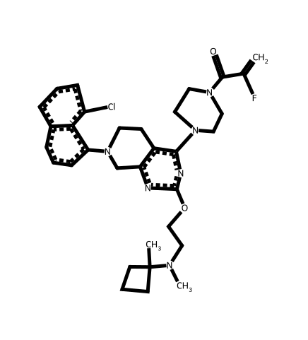 C=C(F)C(=O)N1CCN(c2nc(OCCN(C)C3(C)CCC3)nc3c2CCN(c2cccc4cccc(Cl)c24)C3)CC1